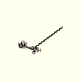 CCC=CCC=CCC=CCC=CCC=CCC=CCCC(=O)NC(CCCCNC(=O)c1cccnc1Cl)C(=O)O